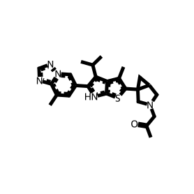 CC(=O)CN1CC2CC2(c2sc3[nH]c(-c4cc(C)c5ncnn5c4)c(C(C)C)c3c2C)C1